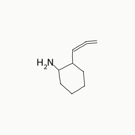 C=C=CC1CCCCC1N